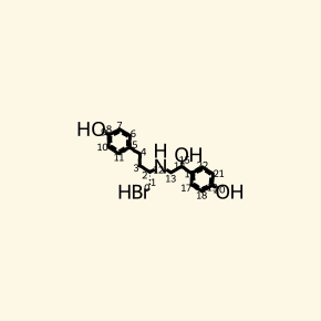 Br.C[C@H](CCc1ccc(O)cc1)NC[C@H](O)c1ccc(O)cc1